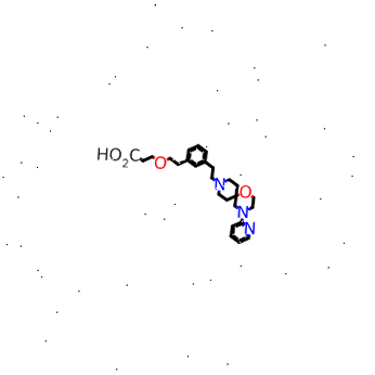 O=C(O)CCOCCc1cccc(CCN2CCC3(CC2)CN(c2ccccn2)CCO3)c1